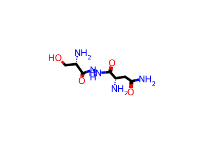 NC(=O)C[C@H](N)C(=O)NNC(=O)[C@@H](N)CO